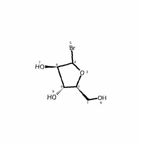 OC[C@@H]1OC(Br)[C@H](O)[C@H]1O